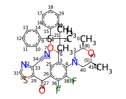 C[C@@H]1CN(c2c(CO[Si](c3ccccc3)(c3ccccc3)C(C)(C)C)cc(C(=O)c3scnc3C#N)c(F)c2F)C[C@H](C)O1